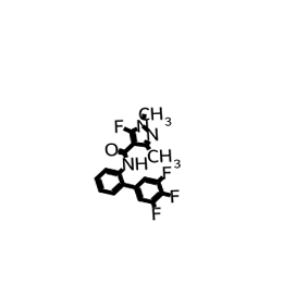 Cc1nn(C)c(F)c1C(=O)Nc1ccccc1-c1cc(F)c(F)c(F)c1